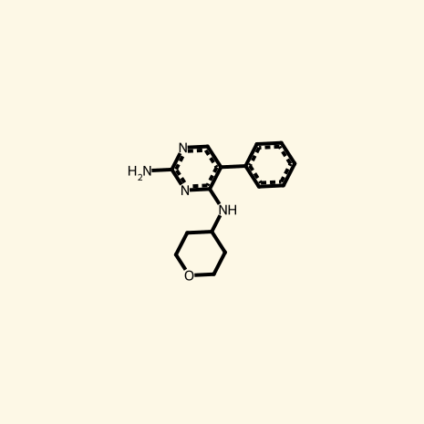 Nc1ncc(-c2ccccc2)c(NC2CCOCC2)n1